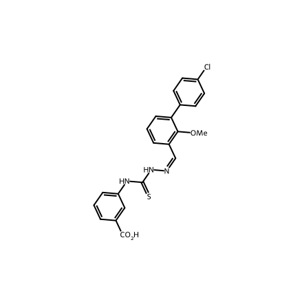 COc1c(/C=N\NC(=S)Nc2cccc(C(=O)O)c2)cccc1-c1ccc(Cl)cc1